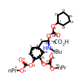 CCCOC(=O)Oc1ccc(C[C@](NC(C)CC)(OC(=O)OC2CCCCC2)C(=O)O)cc1OC(=O)OCCC